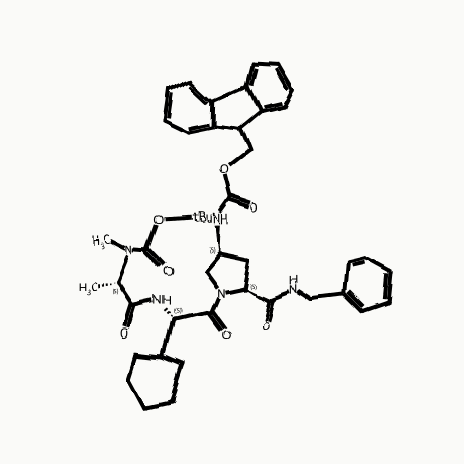 C[C@@H](C(=O)N[C@H](C(=O)N1C[C@@H](NC(=O)OCC2c3ccccc3-c3ccccc32)C[C@H]1C(=O)NCc1ccccc1)C1CCCCC1)N(C)C(=O)OC(C)(C)C